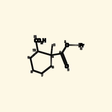 CC(C)OC(=O)C1(C)CCCCC1C(=O)O